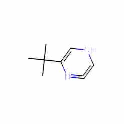 CC(C)(C)C1=CNC=C=N1